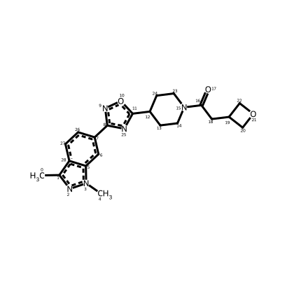 Cc1nn(C)c2cc(-c3noc(C4CCN(C(=O)CC5COC5)CC4)n3)ccc12